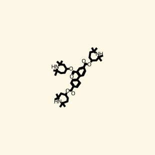 CC1(C)CCC(OC(=O)c2ccc(-c3ccc(C(=O)OC4CCC(C)(C)NC(C)(C)C4)cc3C(=O)OC3CCC(C)(C)NC(C)(C)C3)cc2)CC(C)(C)N1